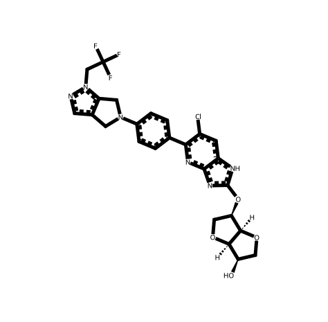 O[C@@H]1CO[C@H]2[C@@H]1OC[C@H]2Oc1nc2nc(-c3ccc(N4Cc5cnn(CC(F)(F)F)c5C4)cc3)c(Cl)cc2[nH]1